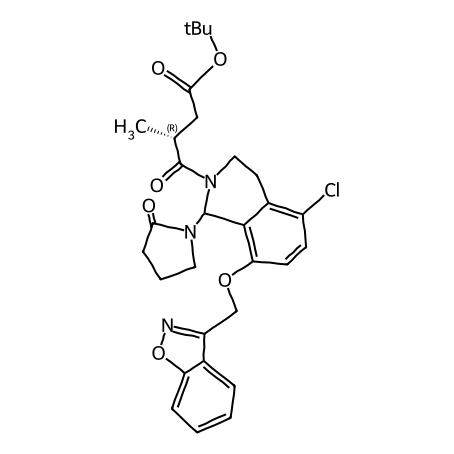 C[C@H](CC(=O)OC(C)(C)C)C(=O)N1CCc2c(Cl)ccc(OCc3noc4ccccc34)c2C1N1CCCC1=O